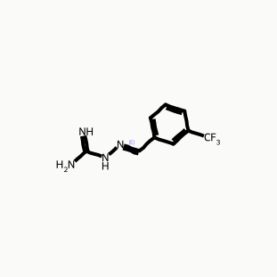 N=C(N)N/N=C/c1cccc(C(F)(F)F)c1